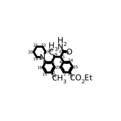 CCOC(=O)c1ccc(C(C(N)=O)C(C)c2cc(C)ccc2N2CCCCC2)cc1